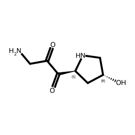 NCC(=O)C(=O)[C@@H]1C[C@@H](O)CN1